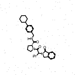 CC(C)C(C(=O)N1CCC[C@H]1C(=O)N(I)Cc1ccc(C2CCCCC2)cc1)N1Cc2ccccc2C1=O